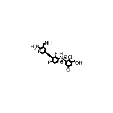 N=Cc1cc(C#Cc2c(F)ccc(NS(=O)(=O)c3cc(Cl)cc(CO)c3Cl)c2F)cnc1N